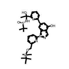 CC(O)(N[S@+]([O-])C(C)(C)C)c1cccc(-c2cc(O)c3cnn(-c4cccc(CO[Si](C)(C)C(C)(C)C)n4)c3c2)n1